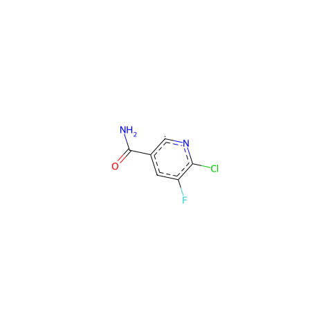 NC(=O)c1[c]nc(Cl)c(F)c1